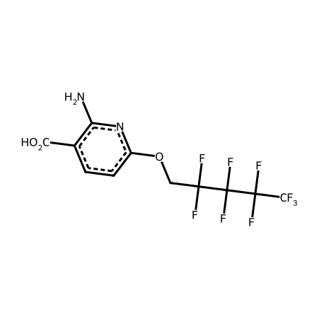 Nc1nc(OCC(F)(F)C(F)(F)C(F)(F)C(F)(F)F)ccc1C(=O)O